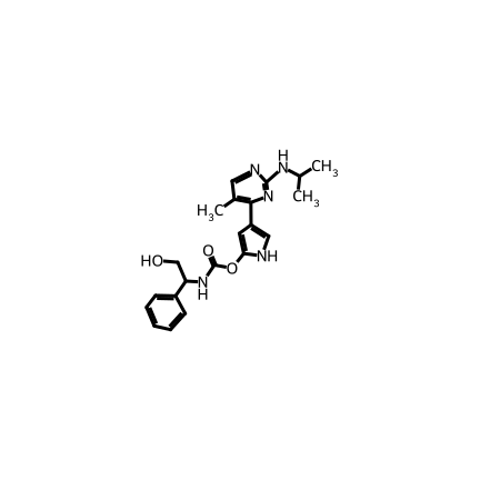 Cc1cnc(NC(C)C)nc1-c1c[nH]c(OC(=O)NC(CO)c2ccccc2)c1